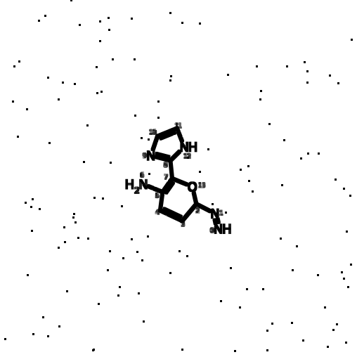 N=NC1C=CC(N)=C(c2ncc[nH]2)O1